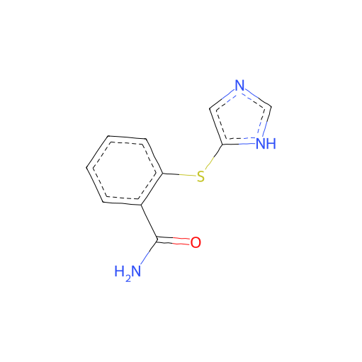 NC(=O)c1ccccc1Sc1cnc[nH]1